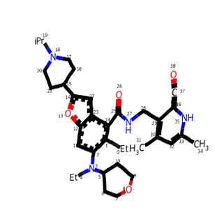 CCc1c(N(CC)C2CCOCC2)cc2oc(C3CCN(C(C)C)CC3)cc2c1C(=O)NCC1=C(C)C=C(C)NC1=C=O